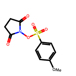 COc1ccc(S(=O)(=O)ON2C(=O)CCC2=O)cc1